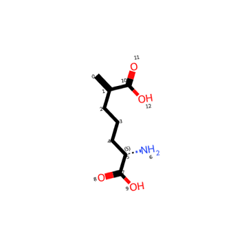 C=C(CCC[C@H](N)C(=O)O)C(=O)O